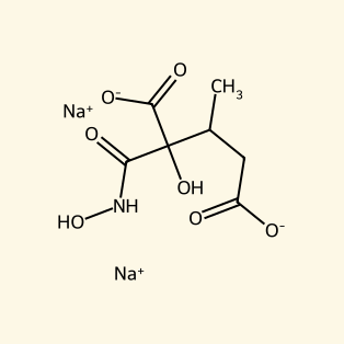 CC(CC(=O)[O-])C(O)(C(=O)[O-])C(=O)NO.[Na+].[Na+]